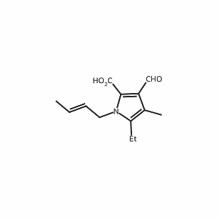 CC=CCn1c(CC)c(C)c(C=O)c1C(=O)O